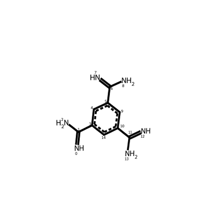 N=C(N)c1cc(C(=N)N)cc(C(=N)N)c1